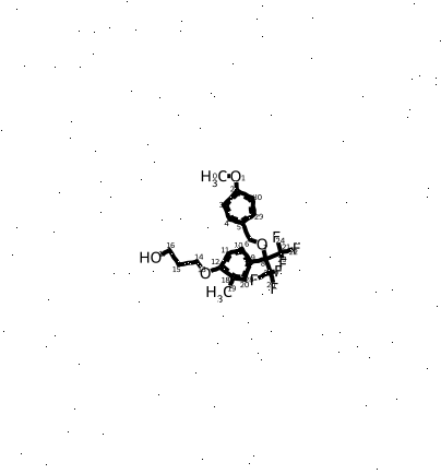 COc1ccc(COC(c2ccc(OCCCO)c(C)c2)(C(F)(F)F)C(F)(F)F)cc1